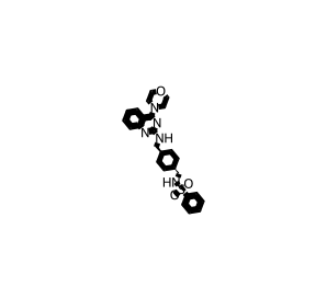 O=S(=O)(NC[C@H]1CC[C@H](CNc2nc(N3CCOCC3)c3ccccc3n2)CC1)c1ccccc1